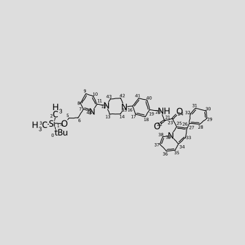 CC(C)(C)[Si](C)(C)OCCc1cccc(N2CCN(c3ccc(NC(=O)C(=O)c4c(-c5ccccc5)cc5ccccn45)cc3)CC2)n1